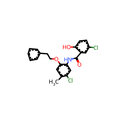 Cc1cc(OCCc2ccccc2)c(NC(=O)c2cc(Cl)ccc2O)cc1Cl